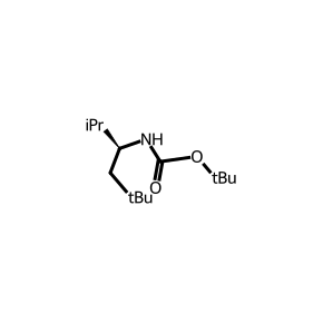 CC(C)[C@H](CC(C)(C)C)NC(=O)OC(C)(C)C